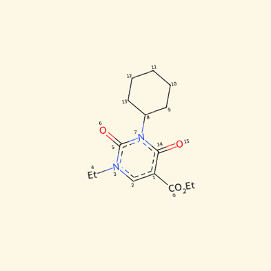 CCOC(=O)c1cn(CC)c(=O)n(C2CCCCC2)c1=O